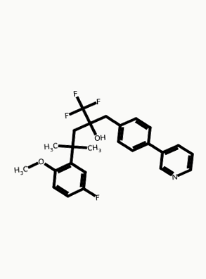 COc1ccc(F)cc1C(C)(C)CC(O)(Cc1ccc(-c2cccnc2)cc1)C(F)(F)F